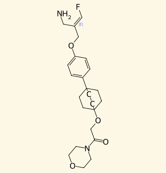 NC/C(=C\F)COc1ccc(C23CCC(OCC(=O)N4CCOCC4)(CC2)CC3)cc1